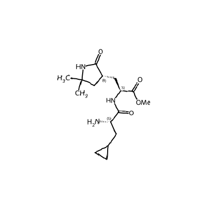 COC(=O)[C@H](C[C@@H]1CC(C)(C)NC1=O)NC(=O)[C@@H](N)CC1CC1